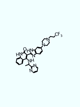 CC(Nc1c(-c2nc3ccc(N4CCN(CCC(F)(F)F)CC4)cc3[nH]2)c(=O)[nH]c2ccccc12)c1ncccn1